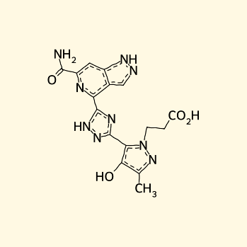 Cc1nn(CCC(=O)O)c(-c2n[nH]c(-c3nc(C(N)=O)cc4[nH]ncc34)n2)c1O